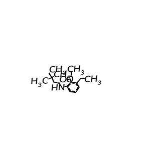 CCOc1c(CC)cccc1NC(=O)CC(C)(C)CC